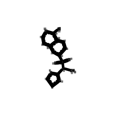 CN(c1nccs1)S(=O)(=O)c1ccc2c(Cl)nccc2c1